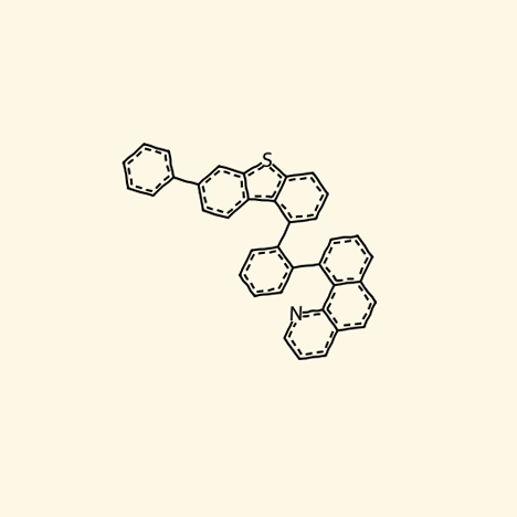 c1ccc(-c2ccc3c(c2)sc2cccc(-c4ccccc4-c4cccc5ccc6cccnc6c45)c23)cc1